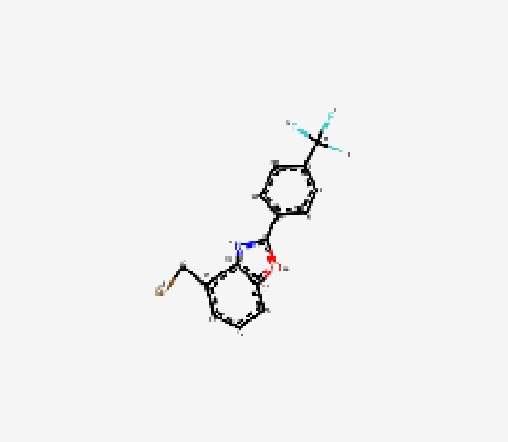 FC(F)(F)c1ccc(-c2nc3c(CBr)cccc3o2)cc1